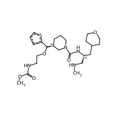 CNC[C@H](CC1CCOCC1)NC(=O)N1CCC[C@H](C(OCCNC(=O)OC)c2cccs2)C1